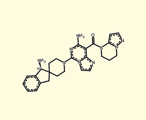 Nc1nc(N2CCC3(CC2)Cc2ccccc2[C@H]3N)n2ccnc2c1C(=O)N1CCCn2nccc21